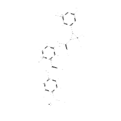 O=C(Nc1ccc([S+]([O-])C(F)(F)F)cc1)c1cc(NC(=O)C2C(c3cc(Cl)cc(Cl)c3)C2(Cl)Cl)ccc1Cl